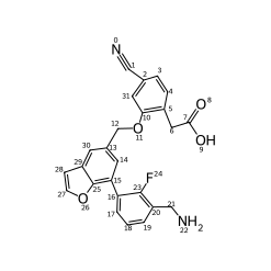 N#Cc1ccc(CC(=O)O)c(OCc2cc(-c3cccc(CN)c3F)c3occc3c2)c1